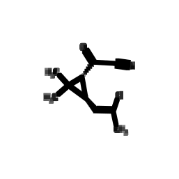 C/C(Cl)=C/[C@@H]1[C@@H](C(=O)C#N)C1(C)C